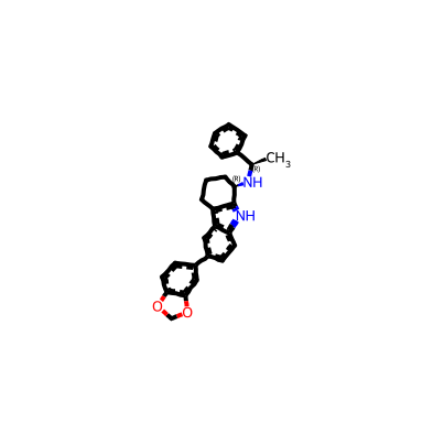 C[C@@H](N[C@@H]1CCCc2c1[nH]c1ccc(-c3ccc4c(c3)OCO4)cc21)c1ccccc1